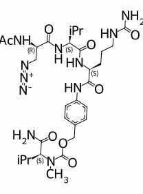 CC(=O)N[C@H](CN=[N+]=[N-])C(=O)N[C@H](C(=O)N[C@@H](CCCNC(N)=O)C(=O)Nc1ccc(COC(=O)N(C)[C@H](C(N)=O)C(C)C)cc1)C(C)C